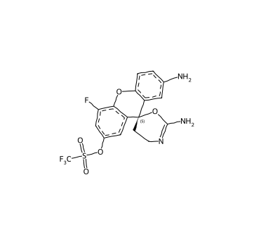 NC1=NCC[C@]2(O1)c1cc(N)ccc1Oc1c(F)cc(OS(=O)(=O)C(F)(F)F)cc12